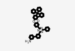 Nc1cccc(-c2cccc(-c3nc(-c4ccccc4)nc(-c4ccc5c(c4)Oc4c(ccc6c4-c4ccccc4C6(c4ccccc4)c4ccccc4)O5)n3)c2)c1